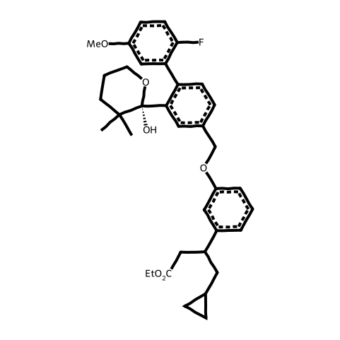 CCOC(=O)CC(CC1CC1)c1cccc(OCc2ccc(-c3cc(OC)ccc3F)c([C@]3(O)OCCCC3(C)C)c2)c1